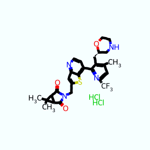 Cc1cc(C(F)(F)F)nc(-c2ccnc3cc(CN4C(=O)C5C(C4=O)C5(C)C)sc23)c1C[C@H]1CNCCO1.Cl.Cl